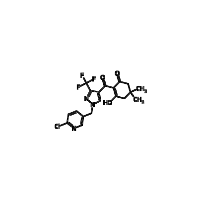 CC1(C)CC(=O)C(C(=O)c2cn(Cc3ccc(Cl)nc3)nc2C(F)(F)F)=C(O)C1